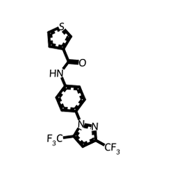 O=C(Nc1ccc(-n2nc(C(F)(F)F)cc2C(F)(F)F)cc1)c1ccsc1